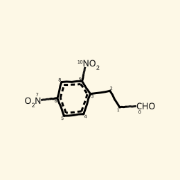 O=CCCc1ccc([N+](=O)[O-])cc1[N+](=O)[O-]